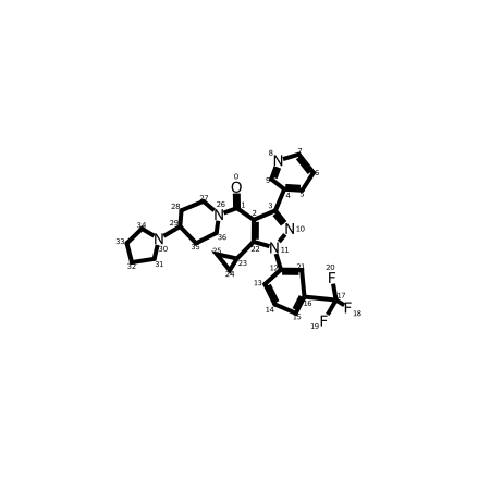 O=C(c1c(-c2cccnc2)nn(-c2cccc(C(F)(F)F)c2)c1C1CC1)N1CCC(N2CCCC2)CC1